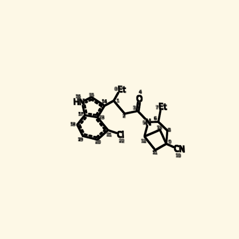 CCC(CC(=O)N1C(CC)CC2(C#N)CC1C2)c1c[nH]c2cccc(Cl)c12